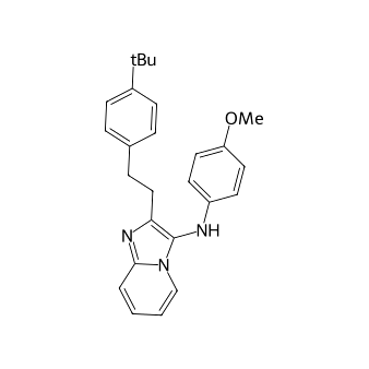 COc1ccc(Nc2c(CCc3ccc(C(C)(C)C)cc3)nc3ccccn23)cc1